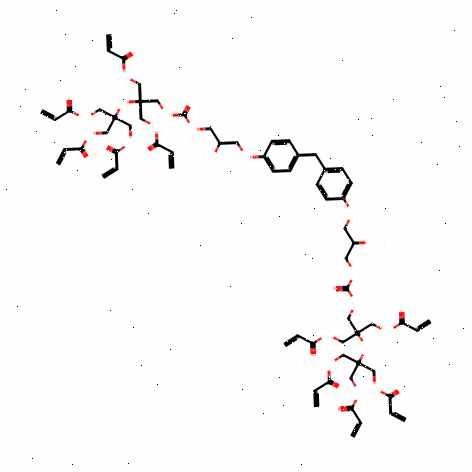 C=CC(=O)OCC(COC(=O)C=C)(COC(=O)C=C)OC(COC(=O)C=C)(COC(=O)C=C)COC(=O)OCC(O)COc1ccc(Cc2ccc(OCC(O)COC(=O)OCC(COC(=O)C=C)(COC(=O)C=C)OC(COC(=O)C=C)(COC(=O)C=C)COC(=O)C=C)cc2)cc1